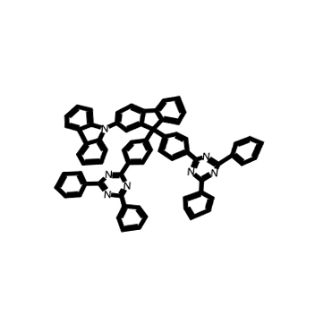 c1ccc(-c2nc(-c3ccccc3)nc(-c3ccc(C4(c5ccc(-c6nc(-c7ccccc7)nc(-c7ccccc7)n6)cc5)c5ccccc5-c5ccc(-n6c7ccccc7c7ccccc76)cc54)cc3)n2)cc1